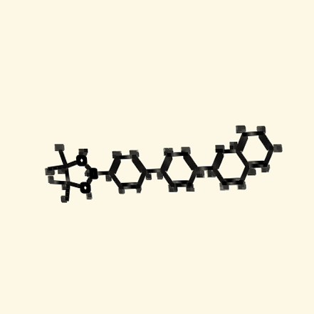 CC1(C)OB(c2ccc(-c3ccc(-c4ccc5ccccc5c4)cc3)cc2)OC1(C)C